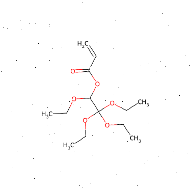 C=CC(=O)OC(OCC)C(OCC)(OCC)OCC